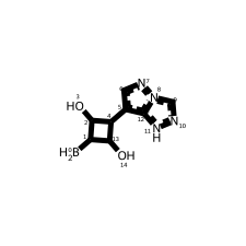 BC1C(O)C(c2cnn3cn[nH]c23)C1O